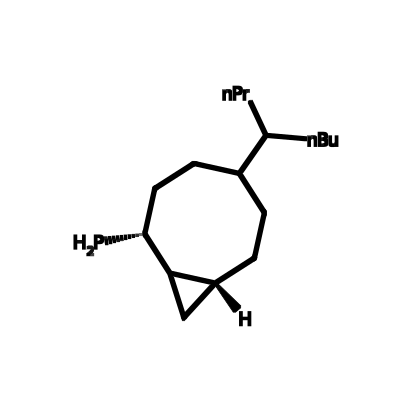 CCCCC(CCC)C1CC[C@@H]2CC2[C@H](P)CC1